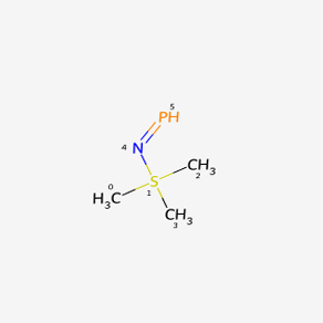 CS(C)(C)N=P